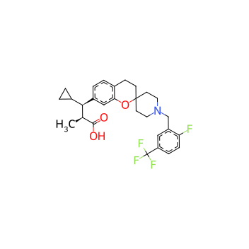 C[C@H](C(=O)O)[C@H](c1ccc2c(c1)OC1(CC2)CCN(Cc2cc(C(F)(F)F)ccc2F)CC1)C1CC1